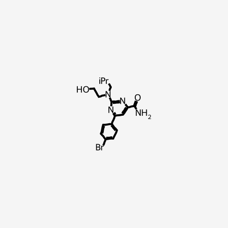 CC(C)CN(CCO)c1nc(C(N)=O)cc(-c2ccc(Br)cc2)n1